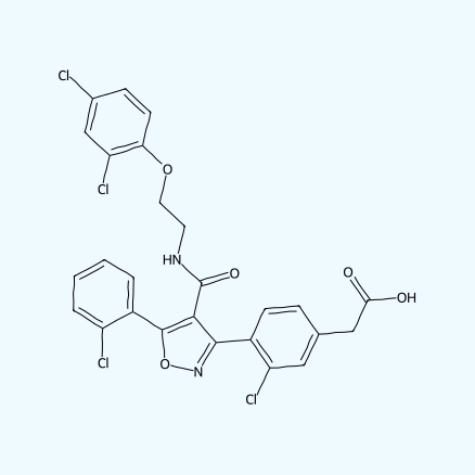 O=C(O)Cc1ccc(-c2noc(-c3ccccc3Cl)c2C(=O)NCCOc2ccc(Cl)cc2Cl)c(Cl)c1